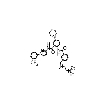 CCN(CC)CCN(C)Cc1cccc(C(=O)Nc2ccc(N3CCCCC3)cc2C(=O)Nc2ccn(-c3cccc(C(F)(F)F)c3)n2)c1